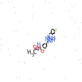 C[C@H](O)CN[S+]([O-])c1ccc(C2=NN(Cc3ccc(F)cc3)NN2)cc1